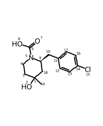 CC1(O)CCN(C(=O)O)[C@@H](Cc2ccc(Cl)cc2)C1